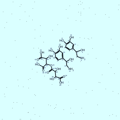 NCC(O)c1ccc(O)c(O)c1.NCC(O)c1ccc(O)c(O)c1.O=C(O)C(O)C(O)C(=O)OC(C(=O)O)C(O)C(=O)O